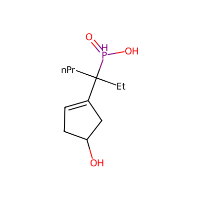 CCCC(CC)(C1=CCC(O)C1)[PH](=O)O